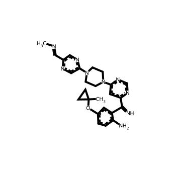 C/N=C/c1cnc(N2CCN(c3cc(C(=N)c4cc(OC5(C)CC5)ccc4N)ncn3)CC2)cn1